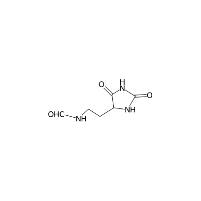 O=CNCCC1NC(=O)NC1=O